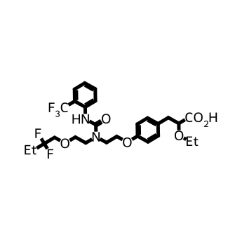 CCOC(Cc1ccc(OCCN(CCOCC(F)(F)CC)C(=O)Nc2ccccc2C(F)(F)F)cc1)C(=O)O